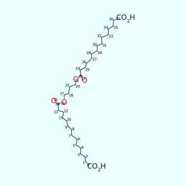 O=C(O)CCCCCCCCCCCCCC(=O)OCCCCOC(=O)CCCCCCCCCCCCCC(=O)O